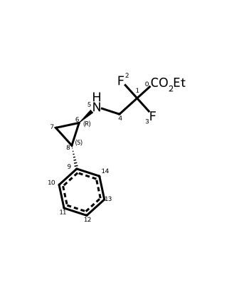 CCOC(=O)C(F)(F)CN[C@@H]1C[C@H]1c1ccccc1